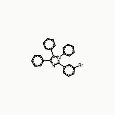 Brc1cccc(-c2nc(-c3ccccc3)c(-c3ccccc3)n2-c2ccccc2)c1